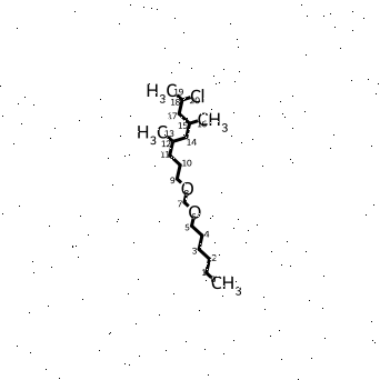 CCCCCCOCOCCCC(C)CC(C)CC(C)Cl